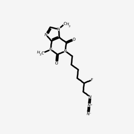 Cn1cnc2c1c(=O)n(CCCCC(F)CN=[N+]=[N-])c(=O)n2C